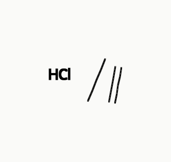 C=C.CC.Cl